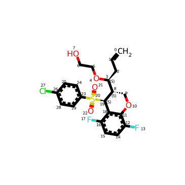 C=CC[C@H](OCCO)[C@@H]1COc2c(F)ccc(F)c2[C@H]1S(=O)(=O)c1ccc(Cl)cc1